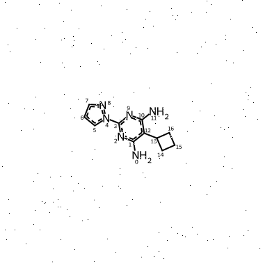 Nc1nc(-n2cccn2)nc(N)c1C1CCC1